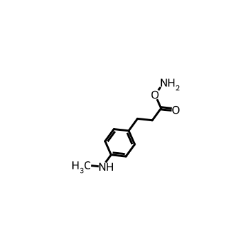 CNc1ccc(CCC(=O)ON)cc1